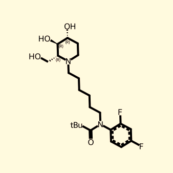 CC(C)(C)C(=O)N(CCCCCCN1CC[C@@H](O)[C@H](O)[C@H]1CO)c1ccc(F)cc1F